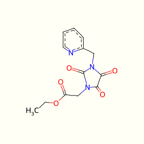 CCOC(=O)CN1C(=O)C(=O)N(Cc2ccccn2)C1=O